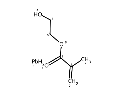 C=C(C)C(=O)OCCO.[PbH2]